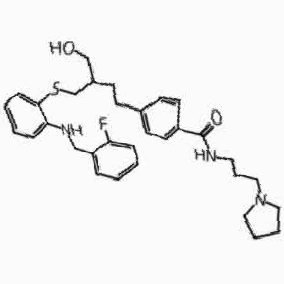 O=C(NCCCN1CCCC1)c1ccc(CCC(CO)CSc2ccccc2NCc2ccccc2F)cc1